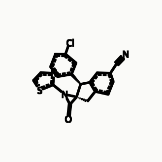 N#Cc1ccc2c(c1)[C@H](c1cccc(Cl)c1)[C@@]1(C2)C(=O)N1c1nccs1